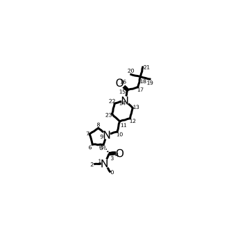 CN(C)C(=O)[C@@H]1CCCN1CC1CCN(C(=O)CC(C)(C)C)CC1